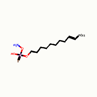 CCCCCCCC/C=C/CCCCCCCCOP(O)(=S)ON